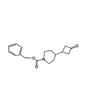 O=C1CC(C2CCN(C(=O)OCc3ccccc3)CC2)C1